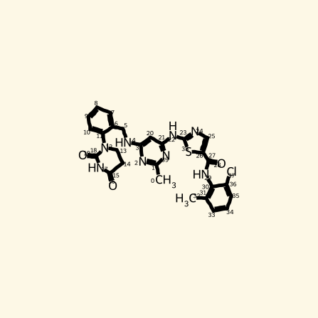 Cc1nc(NCc2ccccc2N2CCC(=O)NC2=O)cc(Nc2ncc(C(=O)Nc3c(C)cccc3Cl)s2)n1